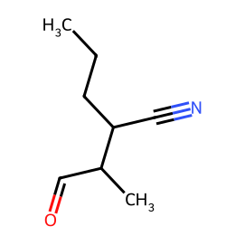 CCCC(C#N)C(C)C=O